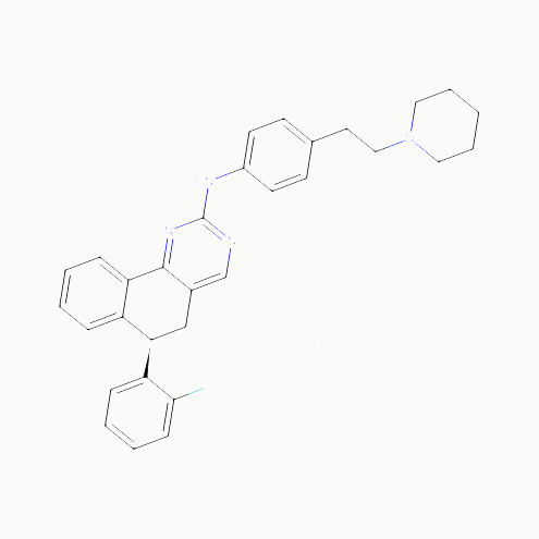 Cl.Fc1ccccc1[C@@H]1Cc2cnc(Nc3ccc(CCN4CCCCC4)cc3)nc2-c2ccccc21